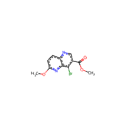 COC(=O)c1cnc2ccc(OC)nc2c1Br